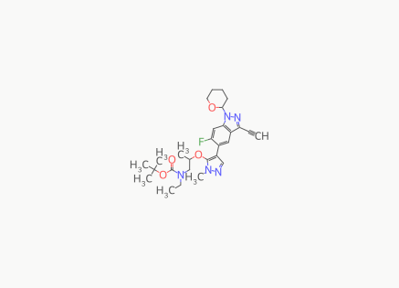 C#Cc1nn(C2CCCCO2)c2cc(F)c(-c3cnn(C)c3OC(C)CN(CC)C(=O)OC(C)(C)C)cc12